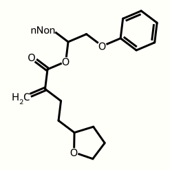 C=C(CCC1CCCO1)C(=O)OC(CCCCCCCCC)COc1ccccc1